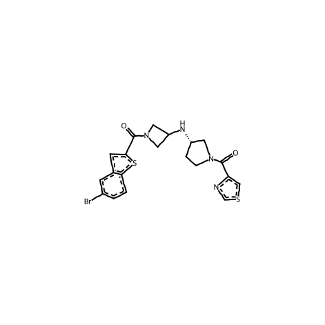 O=C(c1cscn1)N1CC[C@H](NC2CN(C(=O)c3cc4cc(Br)ccc4s3)C2)C1